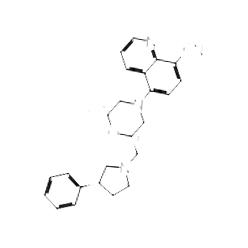 C[C@@H]1CN(c2ccc(C#N)c3ncccc23)C[C@@H](CN2CC[C@@H](c3ccccc3)C2)O1